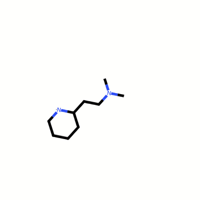 CN(C)CCC1CCCC[N]1